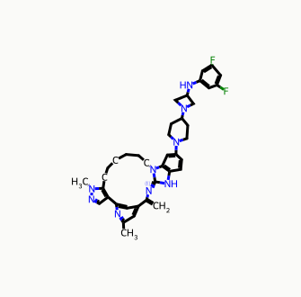 C=C1/N=C2\Nc3ccc(N4CCC(N5CC(Nc6cc(F)cc(F)c6)C5)CC4)cc3N2CCCCCCc2c(cnn2C)-c2cc1cc(C)n2